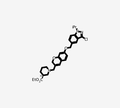 CCOC(=O)[C@H]1CCCN(CC2=Cc3ccc(OCc4ccc5c(c4)c(Cl)nn5C(C)C)cc3OC2)C1